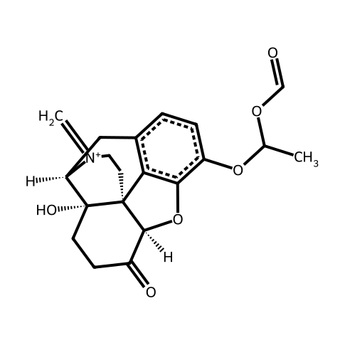 C=[N+]1CC[C@]23c4c5ccc(OC(C)OC=O)c4O[C@H]2C(=O)CC[C@@]3(O)[C@H]1C5